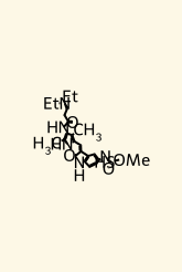 CCN(CC)CCC(=O)Nc1c(C)[nH]c(/C=C2\C(=O)Nc3ccc(N=[SH](=O)OC)cc32)c1C